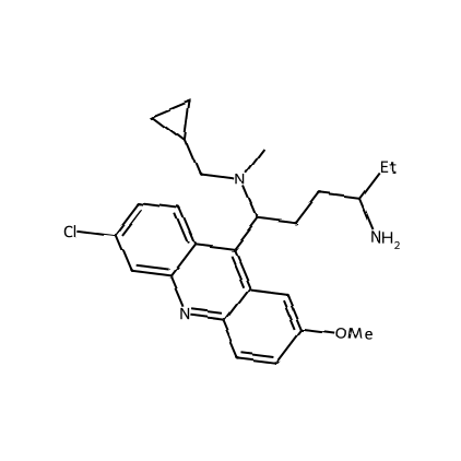 CCC(N)CCC(c1c2ccc(Cl)cc2nc2ccc(OC)cc12)N(C)CC1CC1